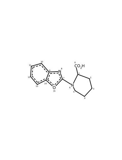 O=C(O)C1CCCCN1c1nc2ccccc2o1